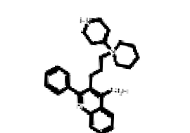 O=C(O)c1c(CCC[N+]2(C3CCNCC3)CCCCC2)c(-c2ccccc2)nc2ccccc12